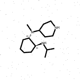 CC(C)N[C@H]1CCCC[C@@H]1N(C)C1CCNCC1